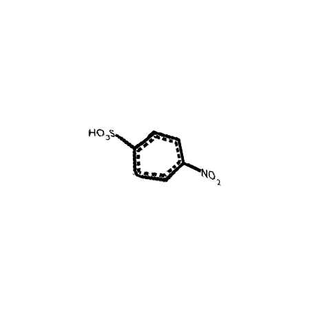 O=[N+]([O-])c1c[c]c(S(=O)(=O)O)cc1